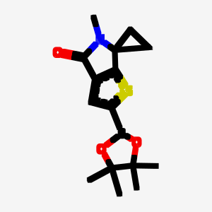 CN1C(=O)c2cc(B3OC(C)(C)C(C)(C)O3)sc2C12CC2